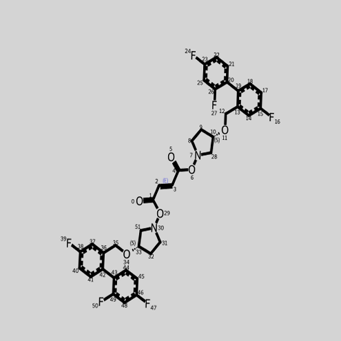 O=C(/C=C/C(=O)ON1CC[C@H](OCc2cc(F)ccc2-c2ccc(F)cc2F)C1)ON1CC[C@H](OCc2cc(F)ccc2-c2ccc(F)cc2F)C1